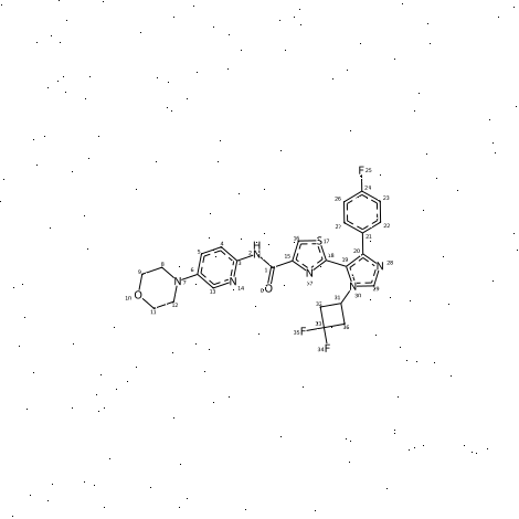 O=C(Nc1ccc(N2CCOCC2)cn1)c1csc(-c2c(-c3ccc(F)cc3)ncn2C2CC(F)(F)C2)n1